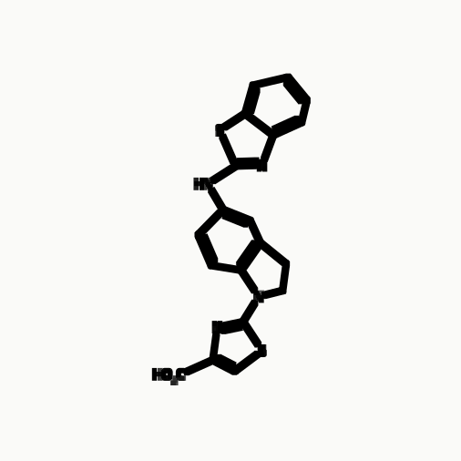 O=C(O)c1csc(N2CCc3cc(Nc4nc5ccccc5s4)ccc32)n1